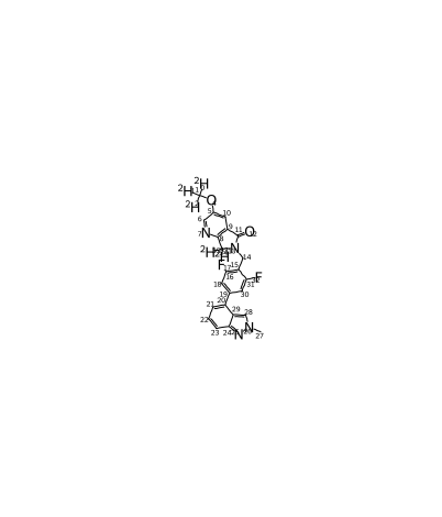 [2H]C([2H])([2H])Oc1cnc2c(c1)C(=O)N(Cc1c(F)cc(-c3cccc4nn(C)cc34)cc1F)C2([2H])[2H]